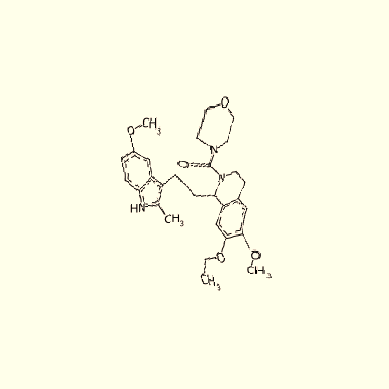 CCOc1cc2c(cc1OC)CCN(C(=O)N1CCOCC1)C2CCc1c(C)[nH]c2ccc(OC)cc12